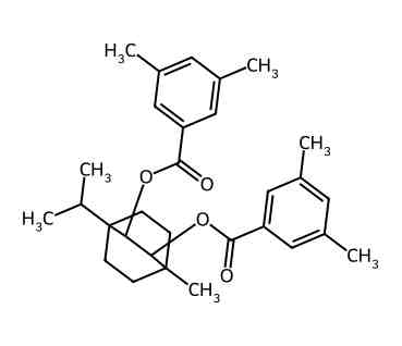 Cc1cc(C)cc(C(=O)OC2C(OC(=O)c3cc(C)cc(C)c3)C3(C(C)C)CCC2(C)CC3)c1